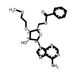 COCCO[C@H]1[C@@H](O)[C@H](n2cnc3c(N)ncnc32)O[C@@H]1COC(=O)c1ccccc1